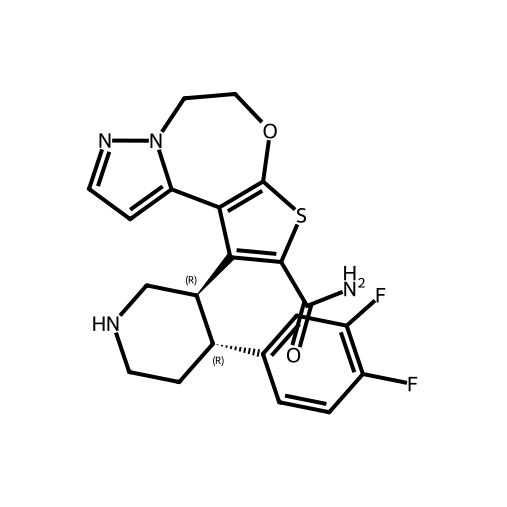 NC(=O)c1sc2c(c1[C@@H]1CNCC[C@H]1c1ccc(F)c(F)c1)-c1ccnn1CCO2